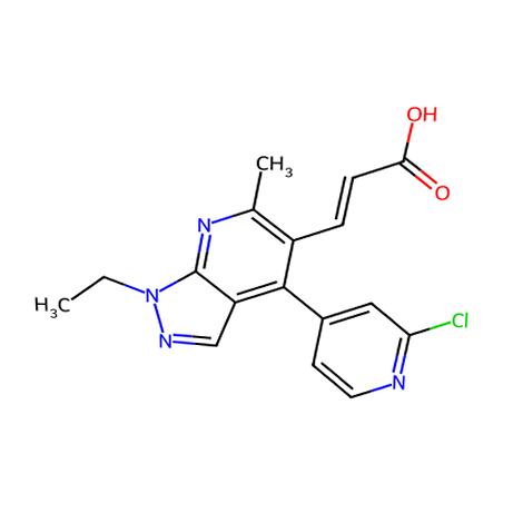 CCn1ncc2c(-c3ccnc(Cl)c3)c(C=CC(=O)O)c(C)nc21